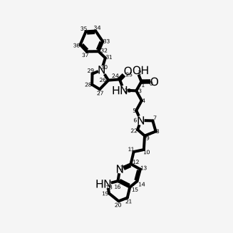 O=C(O)C(CCN1CCC(CCc2ccc3c(n2)NCCC3)C1)NC(=O)C1CCCN1Cc1ccccc1